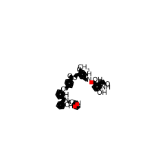 COc1ccc(CNC[C@H](O)c2ccc(O)c3[nH]c(=O)ccc23)cc1COC(=O)c1ccc(COc2cccc([C@@H](NC(=O)O[C@H]3CN4CCC3CC4)c3ccccc3)c2)cc1